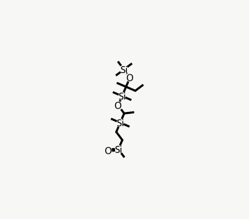 CCC(C)(O[Si](C)(C)C)[Si](C)(C)OC(C)[Si](C)(C)CC[Si](C)=O